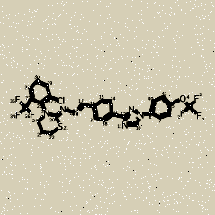 FC(F)(F)Oc1ccc(-n2cnc(-c3ccc(/C=N/N=C4\SCCCN4c4c(Cl)cccc4C(F)(F)F)cc3)n2)cc1